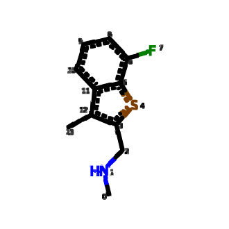 CNCc1sc2c(F)cccc2c1C